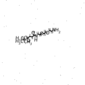 CC(C)(C)OC(=O)CCC(=O)NCCOCCOCCN